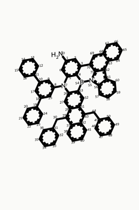 Nc1cc2c3c(c1)N(c1cc(-c4ccccc4)cc(-c4ccccc4)c1)c1cc4c(Cc5ccccc5)c5ccccc5c(Cc5ccccc5)c4cc1B3n1c3ccccc3c3c4ccccc4cc-2c31